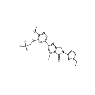 CCn1ccc(N2Cc3nc(-c4cnc(OC)c(OCC(F)(F)F)c4)cc(C)c3C2=O)n1